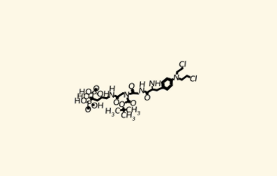 CC(C)(C)OC(=O)N(CC(=O)NCCCC(O)(P(=O)(O)O)P(=O)(O)O)C(=O)CNC(=O)[C@@H](N)Cc1ccc(N(CCCl)CCCl)cc1